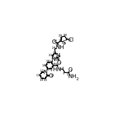 NC(=O)CCNC(=O)c1cc(-n2ccccc2=O)ccc1-n1cc(CNC(=O)C2=CCC(Cl)S2)nn1